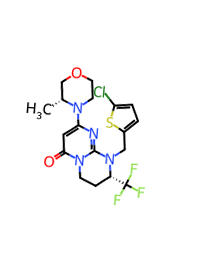 C[C@@H]1COCCN1c1cc(=O)n2c(n1)N(Cc1ccc(Cl)s1)[C@H](C(F)(F)F)CC2